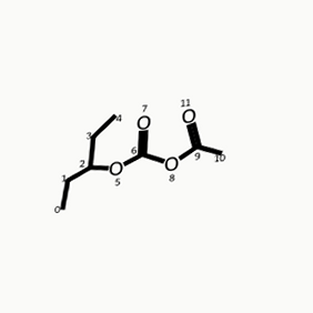 CCC(CC)OC(=O)OC(C)=O